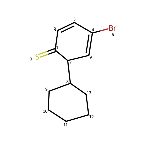 S=C1[C]=CC(Br)=CC1C1CCCCC1